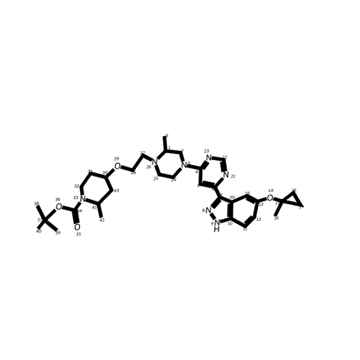 CC1CN(c2cc(-c3n[nH]c4ccc(OC5(C)CC5)cc34)ncn2)CCN1CCOC1CCN(C(=O)OC(C)(C)C)C(C)C1